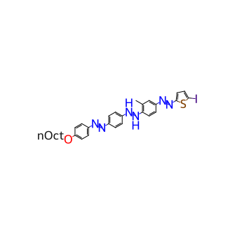 CCCCCCCCOc1ccc(/N=N/c2ccc(NNc3ccc(/N=N/c4ccc(I)s4)cc3C)cc2)cc1